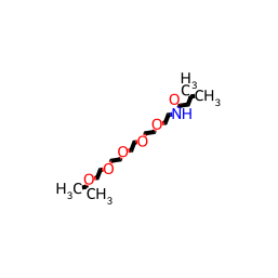 CC(C)CC(=O)NCCOCCOCCOCCOCCOC(C)C